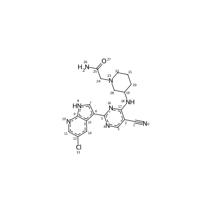 N#Cc1cnc(-c2c[nH]c3ncc(Cl)cc23)nc1NC1CCCN(CC(N)=O)C1